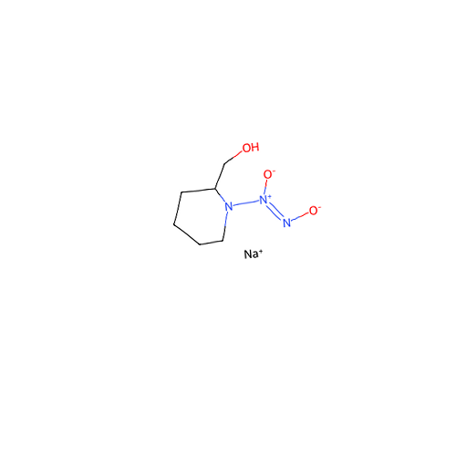 [Na+].[O-]/N=[N+](\[O-])N1CCCCC1CO